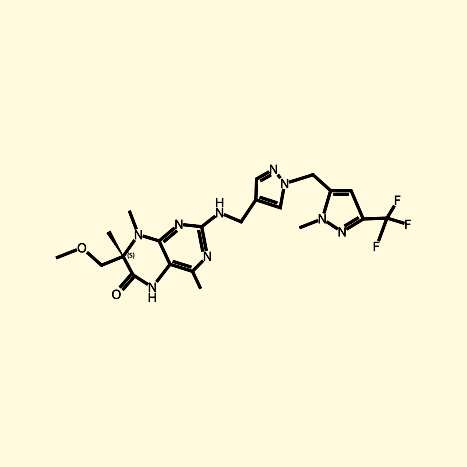 COC[C@@]1(C)C(=O)Nc2c(C)nc(NCc3cnn(Cc4cc(C(F)(F)F)nn4C)c3)nc2N1C